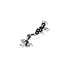 CC(O/C(=C/O)SCc1cn(CCCO[C@H]2CC[C@@]3(C)C(=CCC4C5CC6C([C@H](C)C7CC[C@H](C)CN67)[C@@]5(C)CCC43)C2)nn1)[C@H](O)[C@@H](C)O